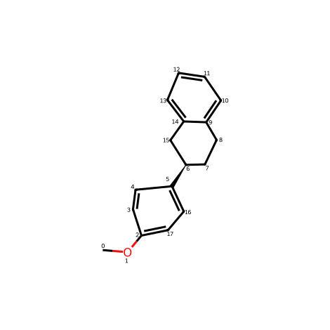 COc1ccc([C@@H]2CCc3ccccc3C2)cc1